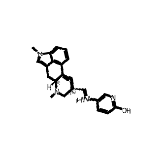 CN1C[C@H](CNc2ccc(O)nc2)C=C2c3cccc4c3c(cn4C)C[C@H]21